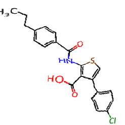 CCCc1ccc(C(=O)Nc2scc(-c3ccc(Cl)cc3)c2C(=O)O)cc1